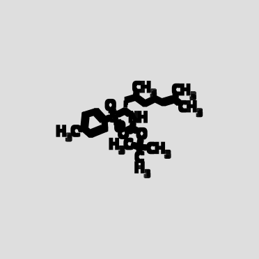 CC(C)=CCCC(C)C[C@H](NC(=O)OC(C)(C)C)S(=O)(=O)c1ccc(C)cc1